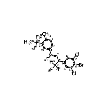 Cc1ccc(/C(F)=C/C(c2cc(Cl)c(Br)c(Cl)c2)C(F)(F)F)cc1C(C)(F)F